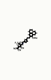 COc1c(CCc2ccc(/C=C/C3=C(C#N)C(=C(C#N)C#N)OC3(C)C(F)(F)F)s2)cc2c3c1CCCN3CCC2